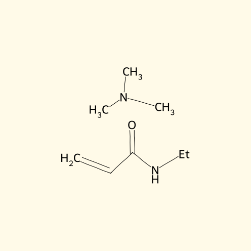 C=CC(=O)NCC.CN(C)C